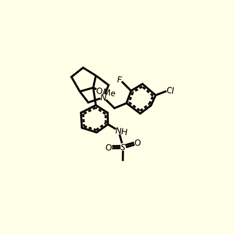 COC1(c2cccc(NS(C)(=O)=O)c2)C2CCC1CN(Cc1ccc(Cl)cc1F)C2